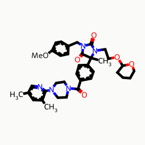 COc1ccc(CN2C(=O)N(CCOC3CCCCO3)C(C)(c3ccc(C(=O)N4CCN(c5ncc(C)cc5C)CC4)cc3)C2=O)cc1